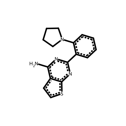 Nc1nc(-c2ccccc2N2CCCC2)nc2sccc12